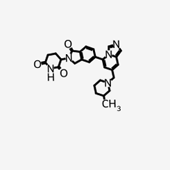 CC1CCCN(Cc2cc(-c3ccc4c(c3)CN(C3CCC(=O)NC3=O)C4=O)n3cncc3c2)C1